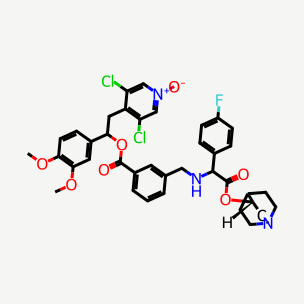 COc1ccc(C(Cc2c(Cl)c[n+]([O-])cc2Cl)OC(=O)c2cccc(CNC(C(=O)O[C@H]3CN4CCC3CC4)c3ccc(F)cc3)c2)cc1OC